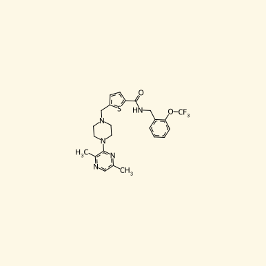 Cc1cnc(C)c(N2CCN(Cc3ccc(C(=O)NCc4ccccc4OC(F)(F)F)s3)CC2)n1